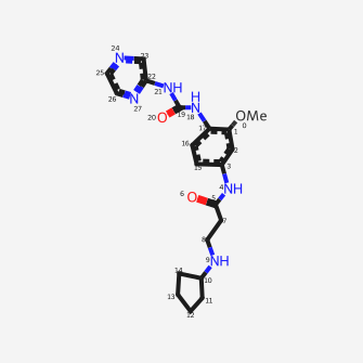 COc1cc(NC(=O)CCNC2CCCC2)ccc1NC(=O)Nc1cnccn1